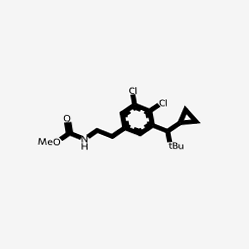 COC(=O)NCCc1cc(Cl)c(Cl)c(C(C2CC2)C(C)(C)C)c1